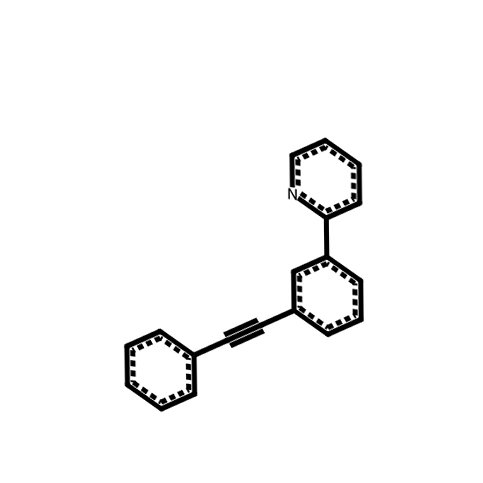 C(#Cc1cccc(-c2ccccn2)c1)c1ccccc1